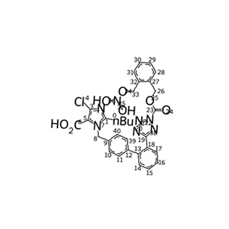 CCCCc1nc(Cl)c(C(=O)O)n1Cc1ccc(-c2ccccc2-c2nnn(C(=O)OCc3ccccc3CON(O)O)n2)cc1